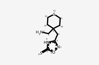 NCC1(Cc2noc(=S)[nH]2)CCSCC1